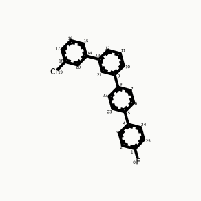 Fc1ccc(-c2ccc(-c3[c]ccc(-c4cccc(Cl)c4)c3)cc2)cc1